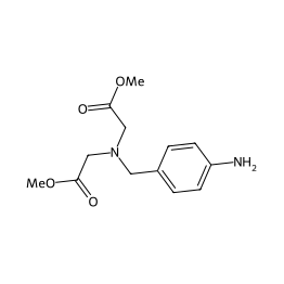 COC(=O)CN(CC(=O)OC)Cc1ccc(N)cc1